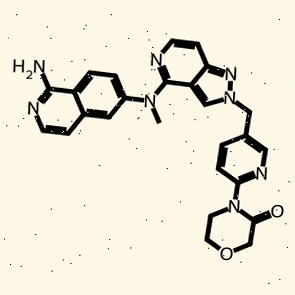 CN(c1ccc2c(N)nccc2c1)c1nccc2nn(Cc3ccc(N4CCOCC4=O)nc3)cc12